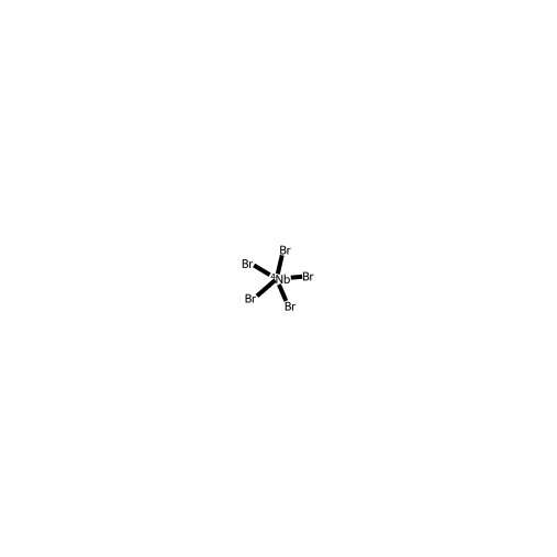 [Br][4Nb]([Br])([Br])([Br])[Br]